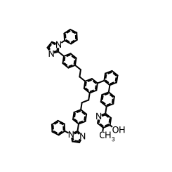 Cc1cnc(-c2ccc(-c3ccccc3-c3cc(CCc4ccc(-c5nccn5-c5ccccc5)cc4)cc(CCc4ccc(-c5nccn5-c5ccccc5)cc4)c3)cc2)cc1O